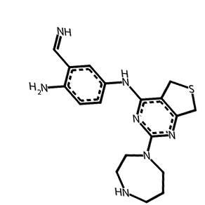 N=Cc1cc(Nc2nc(N3CCCNCC3)nc3c2CSC3)ccc1N